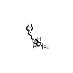 CC(C)(C)N1C[C@H]2CN(CCCN3CCOCC3)C[C@H]2C1